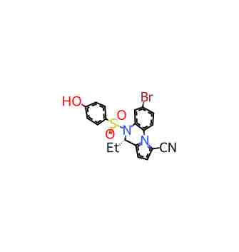 CC[C@H]1c2ccc(C#N)n2-c2ccc(Br)cc2N1S(=O)(=O)c1ccc(O)cc1